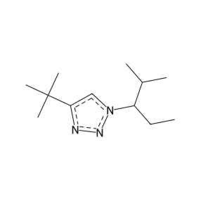 CCC(C(C)C)n1cc(C(C)(C)C)nn1